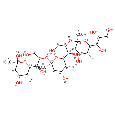 C[C@H]1C(C(O)[C@H](O)CO)O[C@@](OC(CO)[C@@H](O)C2O[C@@](OC(CO)[C@@H](O)C3O[C@@](O)(C(=O)O)C[C@@H](O)[C@H]3C)(C(=O)O)C[C@@H](O)[C@H]2C)(C(=O)O)C[C@H]1O